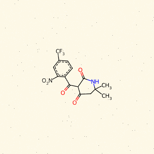 CC1(C)CC(=O)C(C(=O)c2ccc(C(F)(F)F)cc2[N+](=O)[O-])C(=O)N1